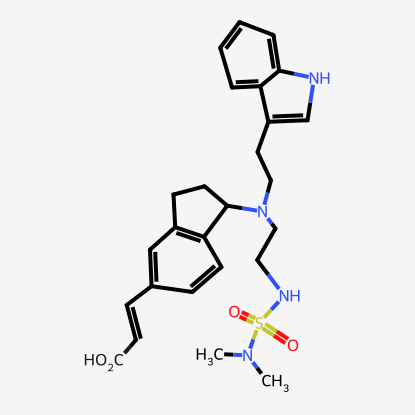 CN(C)S(=O)(=O)NCCN(CCc1c[nH]c2ccccc12)C1CCc2cc(/C=C/C(=O)O)ccc21